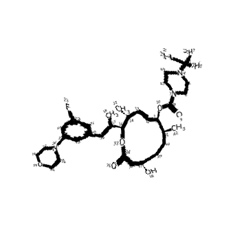 [2H]C([2H])([2H])N1CCN(C(=O)O[C@@H]2/C=C/[C@@H](C)[C@H](/C(C)=C/c3cc(F)cc(N4CCOCC4)c3)OC(=O)C[C@@H](O)CC[C@@H]2C)CC1